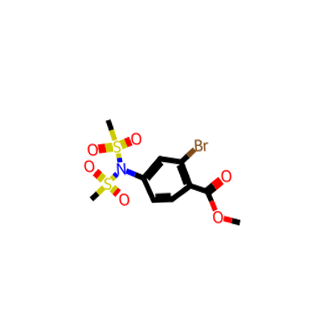 COC(=O)c1ccc(N(S(C)(=O)=O)S(C)(=O)=O)cc1Br